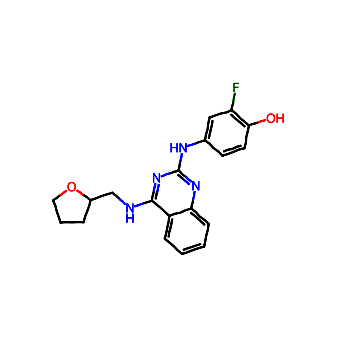 Oc1ccc(Nc2nc(NCC3CCCO3)c3ccccc3n2)cc1F